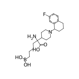 NC(CCCCB(O)O)(C(=O)O)C1CCN(C2CCCc3ccc(F)cc32)CC1